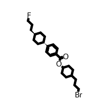 O=C(OC1CCC(CCCBr)CC1)c1ccc([C@H]2CC[C@H](CCCF)CC2)cc1